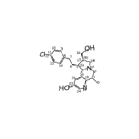 CC(CN1C[C@@H](CCc2ccc(Cl)cc2)[C@@H](CO)C1)c1ccc(O)cn1